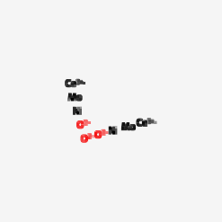 [Ce+3].[Ce+3].[Mo].[Mo].[Ni].[Ni].[O-2].[O-2].[O-2]